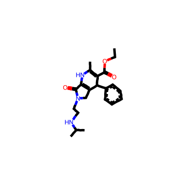 CCOC(=O)C1=C(C)NC2=C(CN(CCNC(C)C)C2=O)C1c1ccccc1